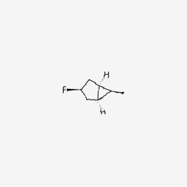 C[C@H]1[C@H]2C[C@@H](F)C[C@@H]12